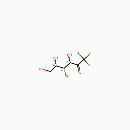 OC[C@@H](O)[C@@H](O)[C@@H](O)C(=S)C(F)(F)F